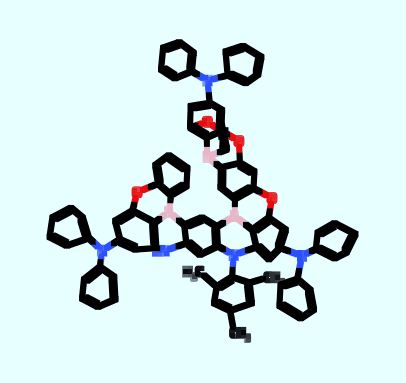 Cc1cc(C)c(N2c3cc4c(cc3B3c5cc6c(cc5Oc5cc(N(c7ccccc7)c7ccccc7)cc2c53)Oc2cc(N(c3ccccc3)c3ccccc3)cc3c2B6c2ccccc2O3)B2c3ccccc3Oc3cc(N(c5ccccc5)c5ccccc5)cc(c32)N4)c(C)c1